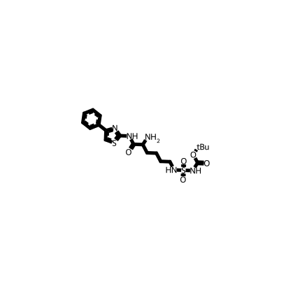 CC(C)(C)OC(=O)NS(=O)(=O)NCCCCC(N)C(=O)Nc1nc(-c2ccccc2)cs1